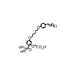 CCCN(CCC)C(=O)c1ccc(OCCCCCOc2ccc(C=NOCC)cc2)cc1OCC(=O)O